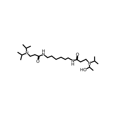 CC(C)N(CCC(=O)NCCCCCCNC(=O)CCN(C(C)C)C(C)O)C(C)C